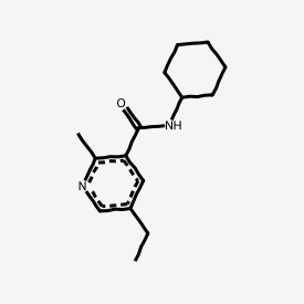 CCc1cnc(C)c(C(=O)NC2CCCCC2)c1